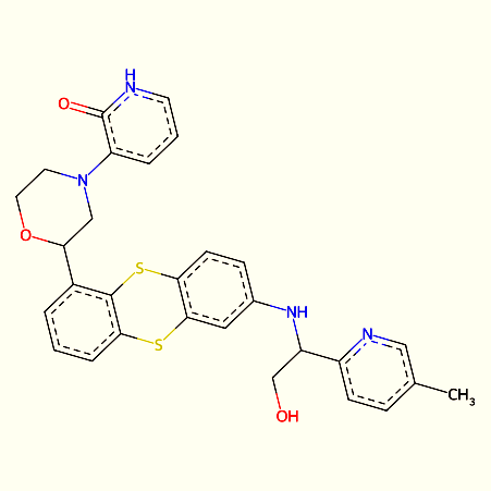 Cc1ccc(C(CO)Nc2ccc3c(c2)Sc2cccc(C4CN(c5ccc[nH]c5=O)CCO4)c2S3)nc1